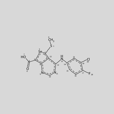 CSc1[se]c(C(=O)O)c2ncnc(Nc3ccc(F)c(Cl)c3)c12